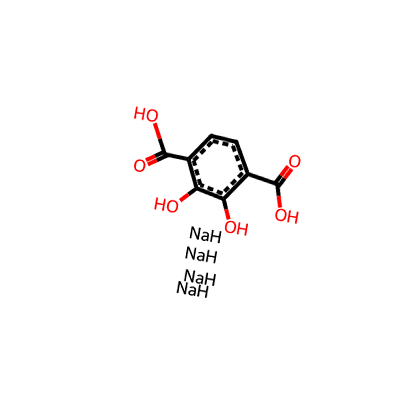 O=C(O)c1ccc(C(=O)O)c(O)c1O.[NaH].[NaH].[NaH].[NaH]